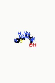 CC(Nc1nc(-c2cnn(CCO)c2)cnc1N)c1cc2cnccc2s1